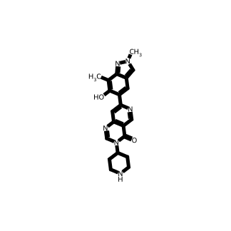 Cc1c(O)c(-c2cc3ncn(C4CCNCC4)c(=O)c3cn2)cc2cn(C)nc12